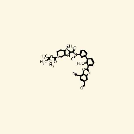 Cc1c(-c2cccc(N(Cl)C(=O)c3nc4c(n3C)CCN(C(=O)OC(C)(C)C)C4)c2)cccc1-c1nc2cc(C=O)cc(C#N)c2o1